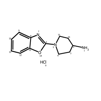 Cl.NC1CCN(c2nc3ccccc3o2)CC1